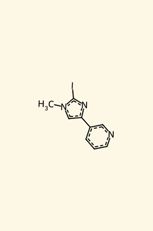 Cn1cc(-c2cccnc2)nc1I